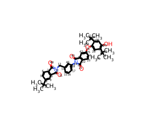 CC(C)(C)c1ccc2c(c1)C(=O)N(Cc1cccc(N3C(=O)c4ccc(Oc5cc(C(C)(C)C)c(O)cc5C(C)(C)C)cc4C3=O)c1)C2=O